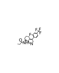 CCC(=O)N[C@@H]1CCCc2c(-c3ccc(C(F)(F)F)cc3F)cncc21